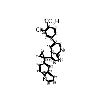 O=C(O)c1ccc(-c2cnc3ncc(C4(c5ccc6ncccc6c5)CC4)n3c2)cc1Cl